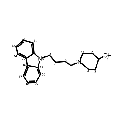 OC1CCN(CCCCn2c3ccccc3c3ccccc32)CC1